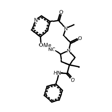 COc1cncc(C(=O)N(C)CC(=O)N2CC(C)(C(=O)Nc3ccccc3)CC2C#N)c1